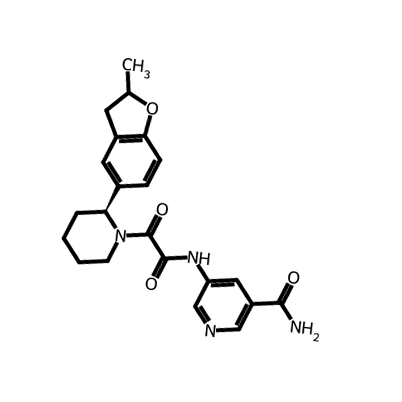 CC1Cc2cc([C@@H]3CCCCN3C(=O)C(=O)Nc3cncc(C(N)=O)c3)ccc2O1